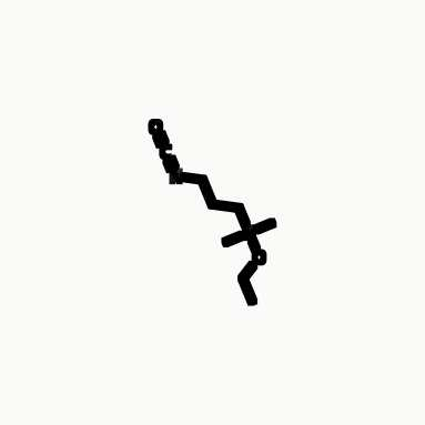 CCO[Si](C)(C)CCCN=C=O